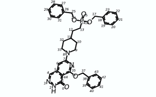 O=c1[nH]ncc2cc(N3CCC(CCP(=O)(OCc4ccccc4)OCc4ccccc4)CC3)nc(OCc3ccccc3)c12